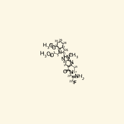 COCCn1c(-c2nc3cc4c(nc3n2C)CCN(C[C@H](N)CF)C4=O)cc2cccc(OC)c21